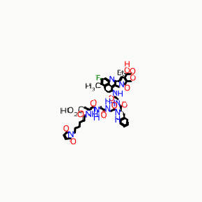 CC[C@@]1(O)C(=O)OCc2c1cc1n(c2=O)Cc2c-1nc1cc(F)c(C)c3c1c2[C@@H](NC(=O)CNC(=O)[C@H](Cc1ccccc1)NC(=O)CNC(=O)CNC(=O)C(CC(=O)O)NC(=O)CCCCCN1C(=O)C=CC1=O)CC3